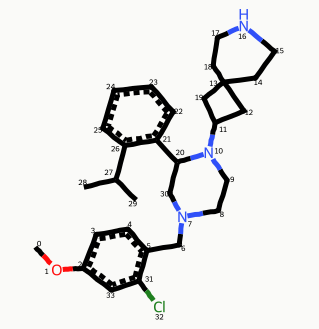 COc1ccc(CN2CCN(C3CC4(CCNCC4)C3)C(c3ccccc3C(C)C)C2)c(Cl)c1